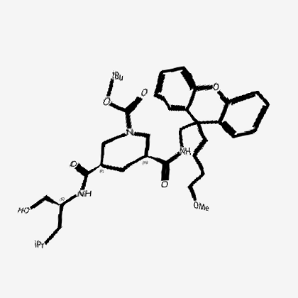 COCCCCC1(CNC(=O)[C@H]2C[C@@H](C(=O)N[C@H](CO)CC(C)C)CN(C(=O)OC(C)(C)C)C2)c2ccccc2Oc2ccccc21